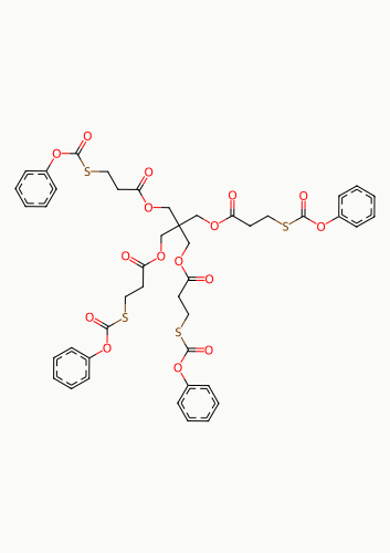 O=C(CCSC(=O)Oc1ccccc1)OCC(COC(=O)CCSC(=O)Oc1ccccc1)(COC(=O)CCSC(=O)Oc1ccccc1)COC(=O)CCSC(=O)Oc1ccccc1